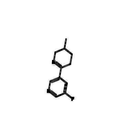 CC1CCC(c2cncc(F)c2)=NC1